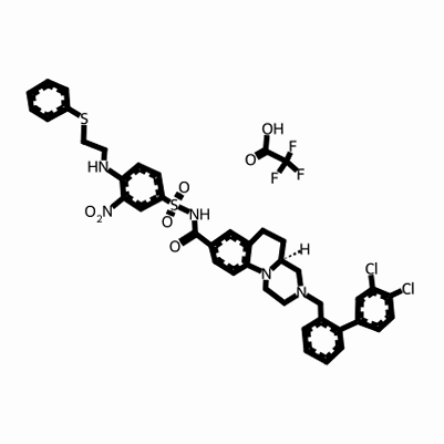 O=C(NS(=O)(=O)c1ccc(NCCSc2ccccc2)c([N+](=O)[O-])c1)c1ccc2c(c1)CC[C@H]1CN(Cc3ccccc3-c3ccc(Cl)c(Cl)c3)CCN21.O=C(O)C(F)(F)F